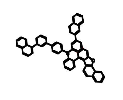 c1cc(-c2ccc(N(c3cccc(-c4ccc5ccccc5c4)c3)c3ccccc3-c3cccc4oc5c6ccccc6ccc5c34)cc2)cc(-c2cccc3ccccc23)c1